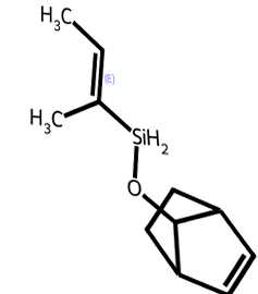 C/C=C(\C)[SiH2]OC1C2C=CC1CC2